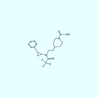 O=C(O)N1CCC(CCN(C(=O)C(F)(F)F)C2CC2c2ccccc2)CC1